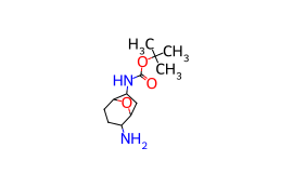 CC(C)(C)OC(=O)NC1CC2OC1CCC2N